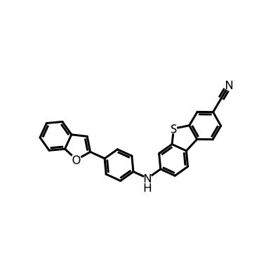 N#Cc1ccc2c(c1)sc1cc(Nc3ccc(-c4cc5ccccc5o4)cc3)ccc12